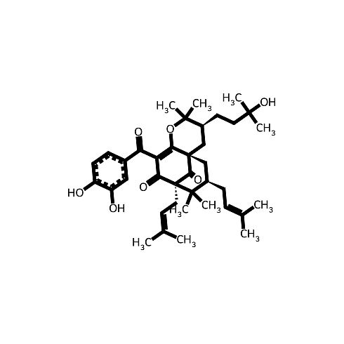 CC(C)=CC[C@@H]1C[C@]23C[C@H](CCC(C)(C)O)C(C)(C)OC2=C(C(=O)c2ccc(O)c(O)c2)C(=O)[C@@](CC=C(C)C)(C3=O)C1(C)C